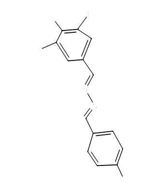 CCCc1c(F)cc(/C=N/N=C/c2ccc(CC)cc2)cc1F